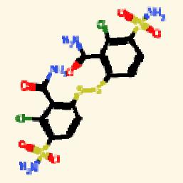 NC(=O)c1c(SSc2ccc(S(N)(=O)=O)c(Cl)c2C(N)=O)ccc(S(N)(=O)=O)c1Cl